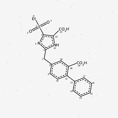 CCS(=O)(=O)c1nc(Cc2ccc(-c3ccccc3)c(C(=O)O)c2)[nH]c1C(=O)O